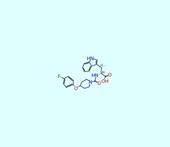 C[C@@H](c1c[nH]c2ccccc12)[C@@H](NC(=O)N1CCC(Oc2ccc(F)cc2)CC1)C(=O)O